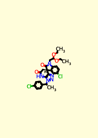 CCOC(CN1C(=O)[C@]2(CC(=O)Nc3c2nnn3C(C)c2ccc(Cl)cc2)c2cc(Cl)ccc21)OCC